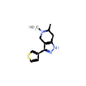 CC1Cc2[nH]nc(-c3ccsc3)c2CN1C(=O)O